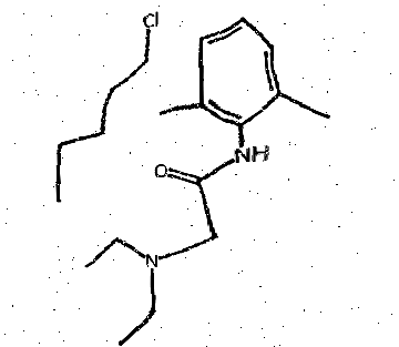 CCCCCCl.CCN(CC)CC(=O)Nc1c(C)cccc1C